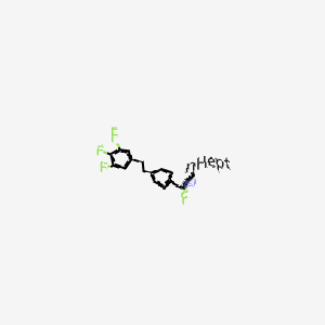 CCCCCCC/C=C(/F)c1ccc(CCc2cc(F)c(F)c(F)c2)cc1